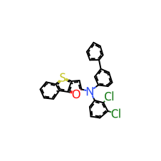 Clc1cccc(N(c2cccc(-c3ccccc3)c2)c2cc3sc4ccccc4c3o2)c1Cl